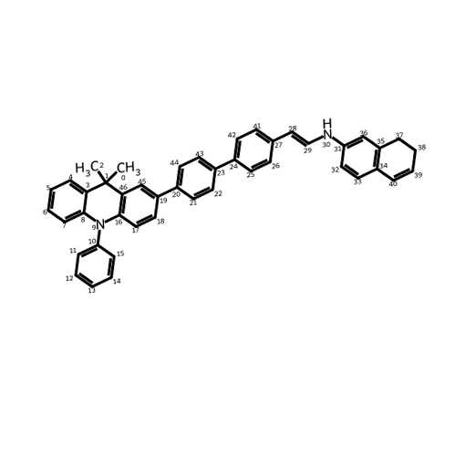 CC1(C)c2ccccc2N(c2ccccc2)c2ccc(-c3ccc(-c4ccc(/C=C/Nc5ccc6c(c5)CCC=C6)cc4)cc3)cc21